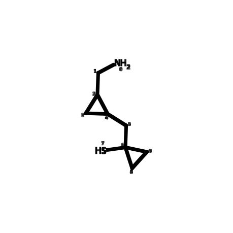 NCC1CC1CC1(S)CC1